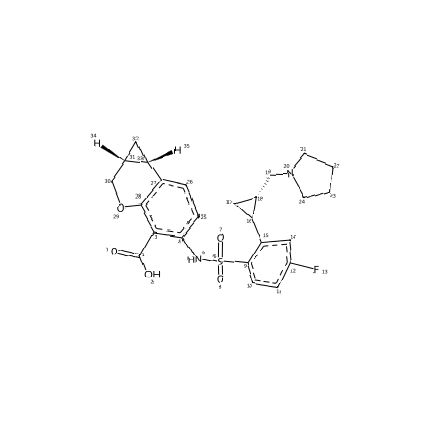 O=C(O)c1c(NS(=O)(=O)c2ccc(F)cc2C2C[C@@H]2CN2CCCC2)ccc2c1OC[C@@H]1C[C@H]21